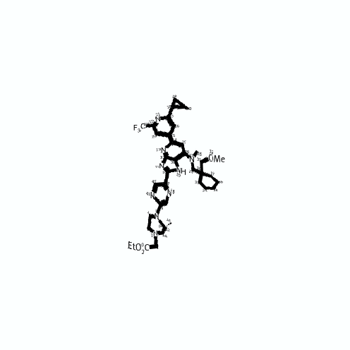 CCOC(=O)CN1CCN(c2cnc(-c3nc4nc(-c5cc(C6CC6)nc(C(F)(F)F)c5)cc(N(C)CC5(COC)CCCCC5)c4[nH]3)cn2)[C@H](C)C1